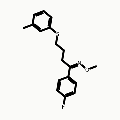 CON=C(CCCSc1cccc(C)c1)c1ccc(F)cc1